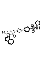 C[C@@H](C(=O)NC1CN(c2ccc(S(=O)(=O)NC3CCCC3)cc2)C1)n1ccc2ccccc21